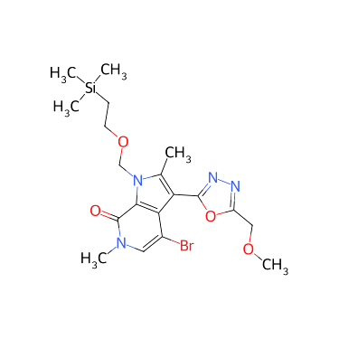 COCc1nnc(-c2c(C)n(COCC[Si](C)(C)C)c3c(=O)n(C)cc(Br)c23)o1